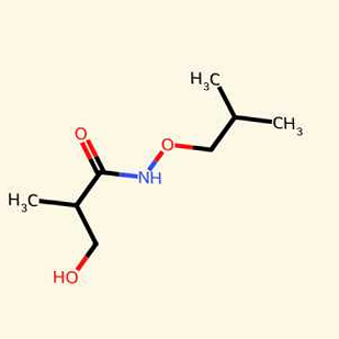 CC(C)CONC(=O)C(C)CO